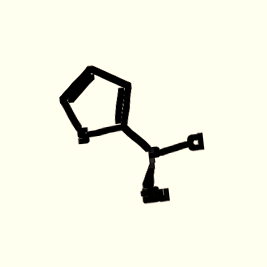 CC(C)(C)[P@](Cl)c1cccs1